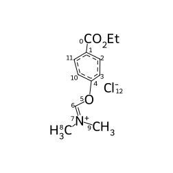 CCOC(=O)c1ccc(OC=[N+](C)C)cc1.[Cl-]